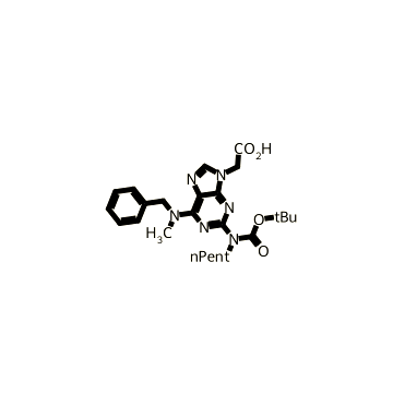 CCCCCN(C(=O)OC(C)(C)C)c1nc(N(C)Cc2ccccc2)c2ncn(CC(=O)O)c2n1